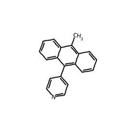 Cc1c2ccccc2c(-c2ccncc2)c2ccccc12